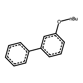 [CH2]CCCOc1cccc(-c2ccccc2)c1